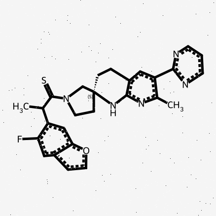 Cc1nc2c(cc1-c1ncccn1)CC[C@@]1(CCN(C(=S)C(C)c3cc4occc4cc3F)C1)N2